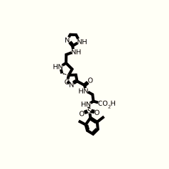 Cc1cccc(C)c1S(=O)(=O)NC(CNC(=O)C1=NO[C@]2(CNC(CNC3=NCCN3)C2)C1)C(=O)O